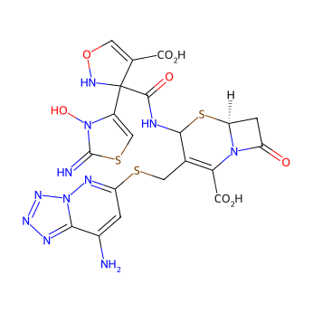 N=c1scc(C2(C(=O)NC3S[C@H]4CC(=O)N4C(C(=O)O)=C3CSc3cc(N)c4nnnn4n3)NOC=C2C(=O)O)n1O